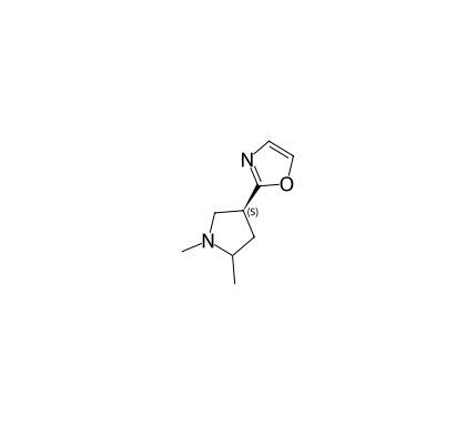 CC1C[C@H](c2ncco2)CN1C